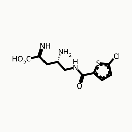 N=C(C[C@H](N)CNC(=O)c1ccc(Cl)s1)C(=O)O